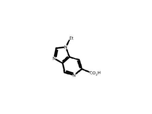 CCn1cnc2cnc(C(=O)O)cc21